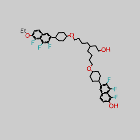 CCOc1ccc2cc(C3CCC(OCCCCC(CCO)CCCCOC4CCC(c5cc6ccc(O)c(F)c6c(F)c5F)CC4)CC3)c(F)c(F)c2c1F